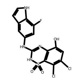 O=S1(=O)NC(Nc2cc(F)c3[nH]ccc3c2)=Nc2c(O)cc(Cl)c(Cl)c21